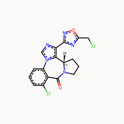 O=C1c2c(Cl)cccc2-n2cnc(-c3noc(CCl)n3)c2[C@@H]2CCCN12